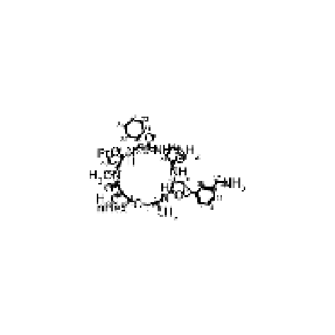 CCCCCC[C@H]1OC[C@@H](C)NC(=O)[C@H](COc2cccc(CN)c2)NC(=O)[C@H](CN)NC(=O)[C@H](C2CCCCC2)NC(=O)[C@H](CC(C)C)N(C)C(=O)[C@@H]1C